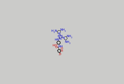 COc1ccc(C(=O)Nc2ccc(Nc3nc(N4C[C@H](N)C[C@H](N)C4)nc(N4C[C@H](N)C[C@H](N)C4)n3)cc2O)c(O)c1